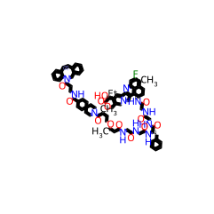 CC[C@@]1(O)C(=O)OCC2=C1C=C1c3nc4cc(F)c(C)c5c4c(c3CN1C2)[C@@H](NC(=O)CNC(=O)CNC(=O)[C@H](Cc1ccccc1)NC(=O)CNC(=O)CNC(=O)CC(C)OCCC(C)C(=O)N1CCC2(CCC(C(=O)NCCC(=O)N3Cc4ccccc4/C=C\c4ccccc43)CC2)CC1)CC5